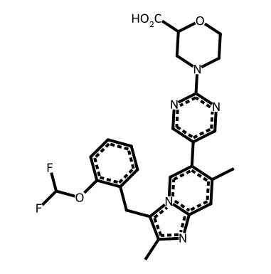 Cc1cc2nc(C)c(Cc3ccccc3OC(F)F)n2cc1-c1cnc(N2CCOC(C(=O)O)C2)nc1